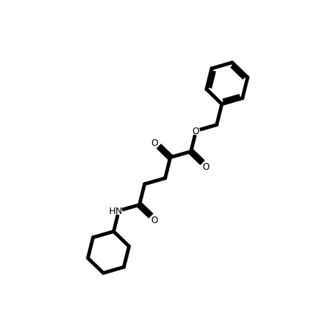 O=C(CCC(=O)C(=O)OCc1ccccc1)NC1CCCCC1